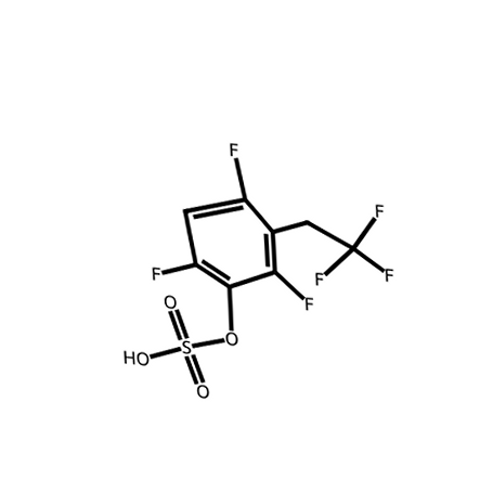 O=S(=O)(O)Oc1c(F)cc(F)c(CC(F)(F)F)c1F